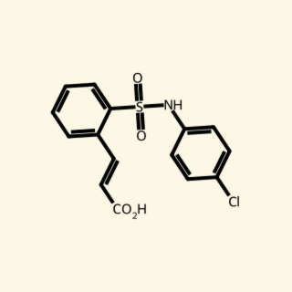 O=C(O)C=Cc1ccccc1S(=O)(=O)Nc1ccc(Cl)cc1